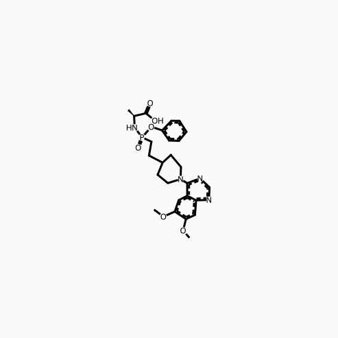 COc1cc2ncnc(N3CCC(CCP(=O)(N[C@@H](C)C(=O)O)Oc4ccccc4)CC3)c2cc1OC